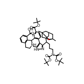 Cc1[nH]nc(C(CCCN(C(=O)OC(C)(C)C)C(=O)OC(C)(C)C)C23CC4CC(C)(CC(C)(C4)C2)C3)c1-c1ccc(C(=O)OC(C)(C)C)nc1C1NCCc2cccc(C(=O)O)c21